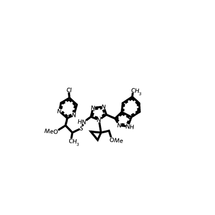 COCC1(n2c(NSC(C)C(OC)c3ncc(Cl)cn3)nnc2-c2n[nH]c3ccc(C)cc23)CC1